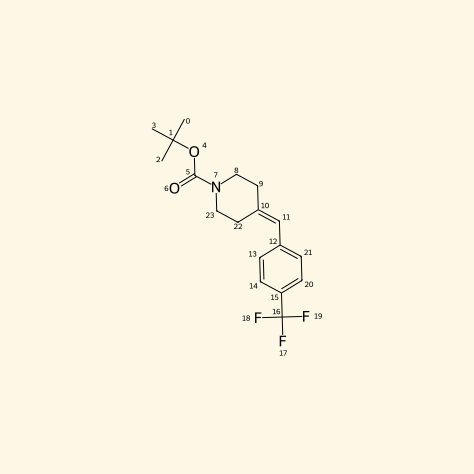 CC(C)(C)OC(=O)N1CCC(=Cc2ccc(C(F)(F)F)cc2)CC1